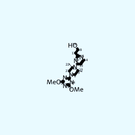 COc1nc(OC)nc(N2C[C@@H](C)N(c3ccnc(CCO)n3)[C@@H](C)C2)n1